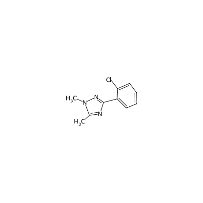 Cc1nc(-c2ccccc2Cl)nn1C